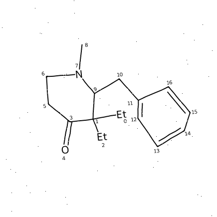 CCC1(CC)C(=O)CCN(C)C1Cc1ccccc1